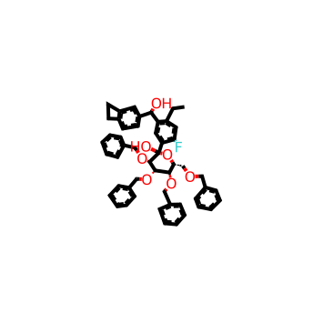 CCc1cc(F)c(C2(O)O[C@H](COCc3ccccc3)[C@@H](OCc3ccccc3)[C@H](OCc3ccccc3)[C@H]2OCc2ccccc2)cc1C(O)c1ccc2c(c1)CC2